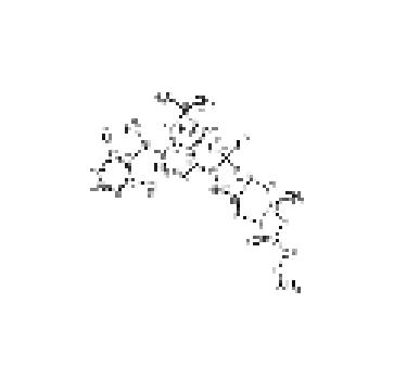 CCOC(=O)C[C@]1(C)CC[C@@H](N/C(=C(\C=N)C(=O)N(CC(O)c2c(Cl)cncc2Cl)CC(C)(C)C)C(F)(F)F)CC1